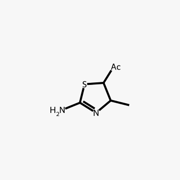 CC(=O)C1SC(N)=NC1C